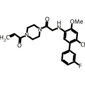 C=CC(=O)N1CCN(C(=O)CNc2cc(-c3cccc(F)c3)c(Cl)cc2OC)CC1